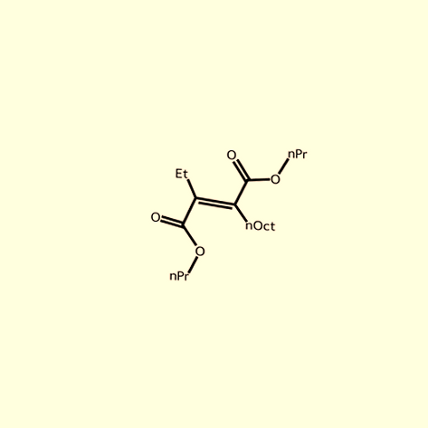 CCCCCCCCC(C(=O)OCCC)=C(CC)C(=O)OCCC